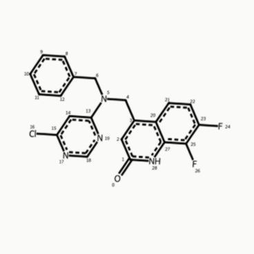 O=c1cc(CN(Cc2ccccc2)c2cc(Cl)ncn2)c2ccc(F)c(F)c2[nH]1